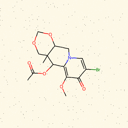 COc1c2n(cc(Br)c1=O)CC1OCOCC1(C)C2OC(C)=O